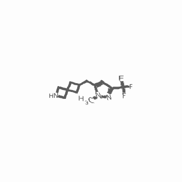 Cn1nc(C(F)(F)F)cc1CC1CC2(CNC2)C1